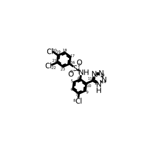 O=S(=O)(Nc1ccc(Cl)cc1-c1nnn[nH]1)c1ccc(Cl)c(Cl)c1